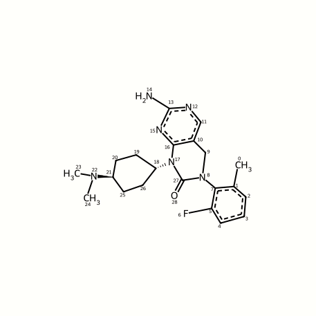 Cc1cccc(F)c1N1Cc2cnc(N)nc2N([C@H]2CC[C@H](N(C)C)CC2)C1=O